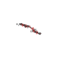 CCC(CC(C)C(=O)OCCCCOc1ccc(C(=O)Oc2ccc(C(=O)Oc3ccc(C)cc3)cc2C(F)(F)F)cc1)C(=O)Oc1ccc(OC(=O)/C=C/c2ccccc2)cc1